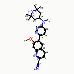 COc1cc2nc(C#N)ccc2cc1-c1ccc(N(C)C2CC(C)(C)NC(C)(C)C2)nn1